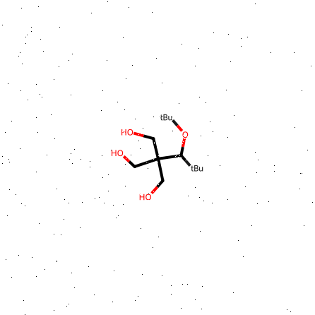 CC(C)(C)OC(C(C)(C)C)C(CO)(CO)CO